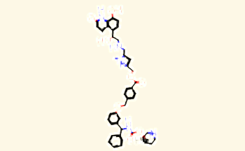 Cn1nc(COC(=O)c2ccc(COc3cccc(C(NC(=O)O[C@H]4CN5CCC4CC5)c4ccccc4)c3)cc2)cc1CNC[C@@H](O)c1ccc(O)c2[nH]c(=O)ccc12